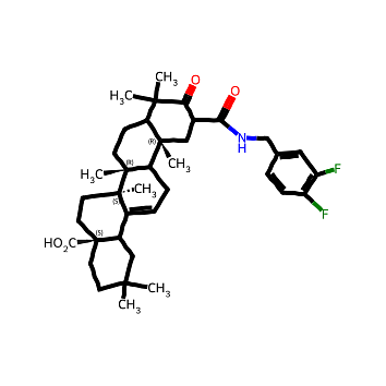 CC1(C)CC[C@]2(C(=O)O)CC[C@]3(C)C(=CCC4[C@@]5(C)CC(C(=O)NCc6ccc(F)c(F)c6)C(=O)C(C)(C)C5CC[C@]43C)C2C1